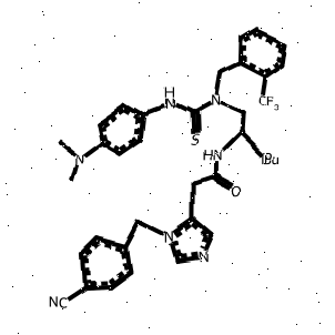 CCC(C)C(CN(Cc1ccccc1C(F)(F)F)C(=S)Nc1ccc(N(C)C)cc1)NC(=O)Cc1cncn1Cc1ccc(C#N)cc1